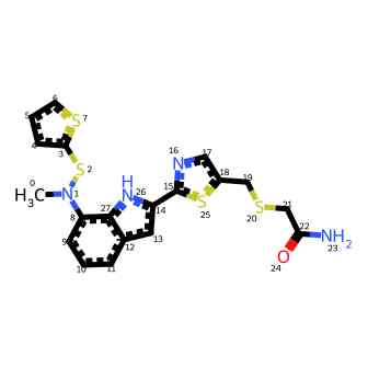 CN(Sc1cccs1)c1cccc2cc(-c3ncc(CSCC(N)=O)s3)[nH]c12